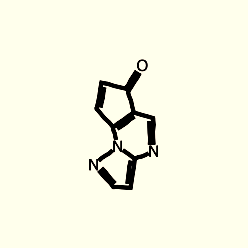 O=C1C=Cc2c1cnc1ccnn21